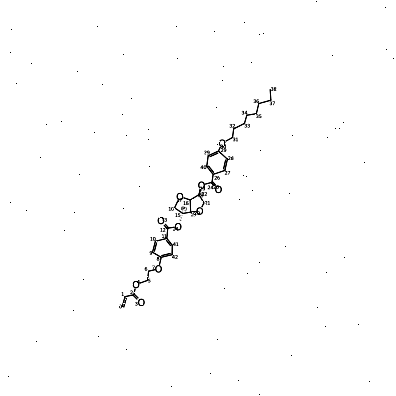 C=CC(=O)OCCOc1ccc(C(=O)O[C@@H]2COC3C2OC[C@@H]3OC(=O)c2ccc(OCCCCCCCC)cc2)cc1